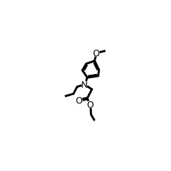 CCCN(CC(=O)OCC)c1ccc(OC)cc1